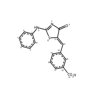 O=C1N=C(Nc2ccccc2)SC1=Cc1cccc(C(=O)O)c1